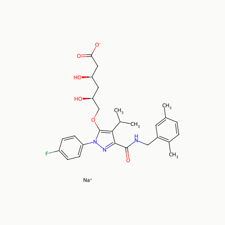 Cc1ccc(C)c(CNC(=O)c2nn(-c3ccc(F)cc3)c(OC[C@@H](O)C[C@@H](O)CC(=O)[O-])c2C(C)C)c1.[Na+]